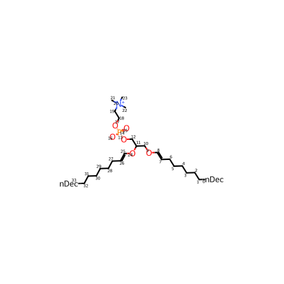 CCCCCCCCCCCCCCCCC=COCC(COP(=O)([O-])OCC[N+](C)(C)C)OC=CCCCCCCCCCCCCCCCC